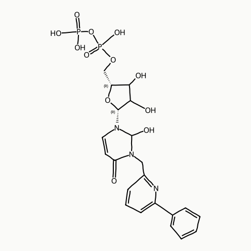 O=C1C=CN([C@@H]2O[C@H](COP(=O)(O)OP(=O)(O)O)C(O)C2O)C(O)N1Cc1cccc(-c2ccccc2)n1